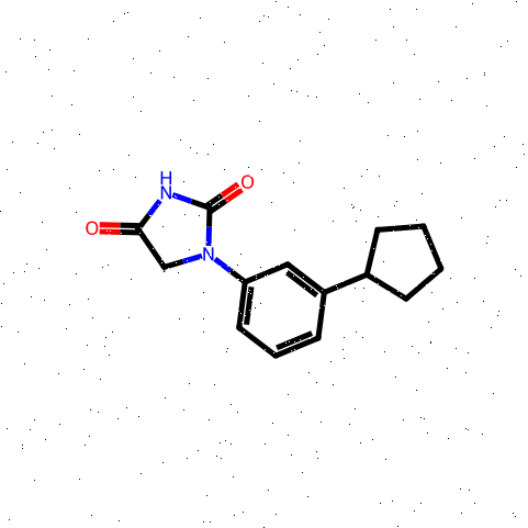 O=C1[CH]N(c2cccc(C3CCCC3)c2)C(=O)N1